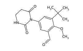 COc1c(C=O)cc(N2C(=O)CCNC2=O)cc1C(C)(C)C